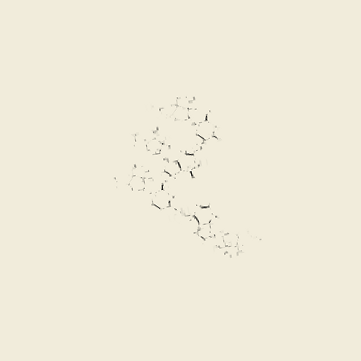 Nc1ccn([C@@H]2O[C@H](CO)[C@@H](O)[C@]2(O)F)c(=O)n1.Nc1nc2c(ncn2[C@@H]2O[C@H](CO)[C@@H](O)[C@]2(O)F)c(=O)[nH]1.Nc1ncnc2c1ncn2[C@@H]1O[C@H](CO)[C@@H](O)[C@]1(O)F.O=c1ccn([C@@H]2O[C@H](CO)[C@@H](O)[C@]2(O)F)c(=O)[nH]1